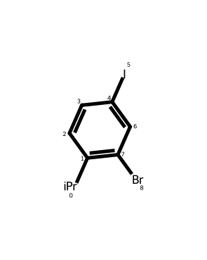 CC(C)c1ccc(I)cc1Br